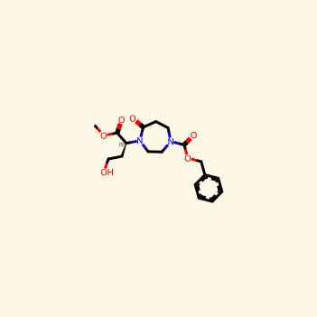 COC(=O)[C@H](CCO)N1CCN(C(=O)OCc2ccccc2)CCC1=O